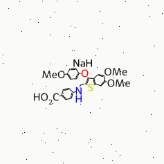 COc1ccc(Oc2c(CNc3ccc(C(=O)O)cc3)sc3cc(OC)c(OC)cc23)cc1.[NaH]